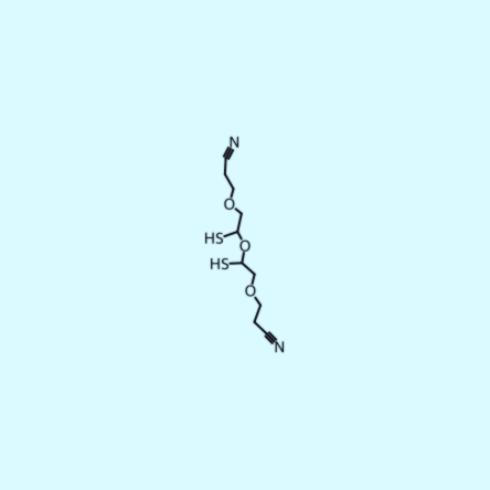 N#CCCOCC(S)OC(S)COCCC#N